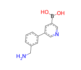 NCc1cccc(-c2cncc(B(O)O)c2)c1